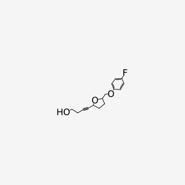 OCCC#CC1CCC(COc2ccc(F)cc2)O1